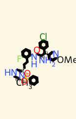 COc1ccc([C@H](c2ccc(Cl)cc2)[C@H](N)C(=O)Nc2cccc(F)c2CCC[C@H]2CNC[C@@H](C)N2S(=O)(=O)c2ccccc2)cn1